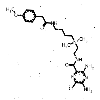 COc1ccc(CC(=O)NCCCC[N+](C)(C)CCNC(=O)c2nc(Cl)c(N)nc2N)cc1